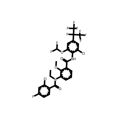 CCN(C(=O)c1ccc(F)cc1Cl)c1cccc(C(=O)Nc2c(Cl)cc(C(F)(C(F)(F)F)C(F)(F)F)cc2OC(F)F)c1OC